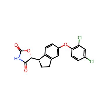 O=C1NC(=O)[C@@H]([C@@H]2CCc3cc(Oc4ccc(Cl)cc4Cl)ccc32)O1